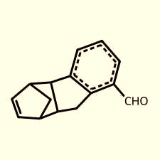 O=Cc1cccc2c1CC1C3C=CC(C3)C21